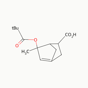 CC(C)(C)C(=O)OC1(C)C=C2CC(C(=O)O)C1C2